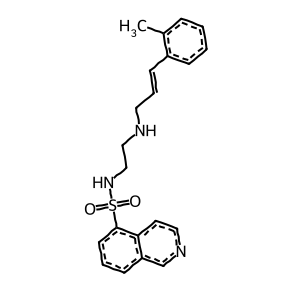 Cc1ccccc1/C=C/CNCCNS(=O)(=O)c1cccc2cnccc12